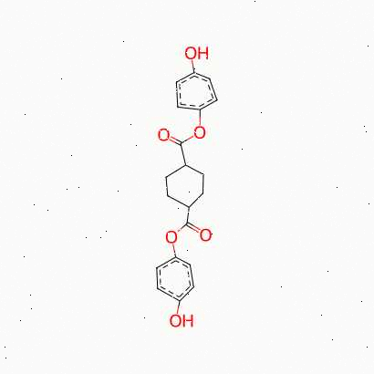 O=C(Oc1ccc(O)cc1)C1CCC(C(=O)Oc2ccc(O)cc2)CC1